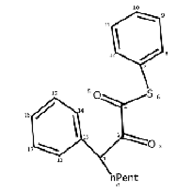 CCCCCC(C(=O)C(=O)Sc1ccccc1)c1ccccc1